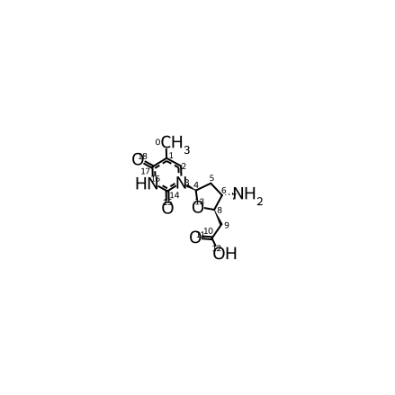 Cc1cn([C@H]2C[C@H](N)[C@@H](CC(=O)O)O2)c(=O)[nH]c1=O